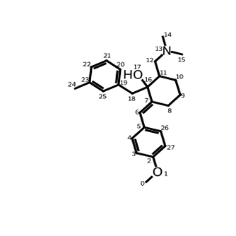 COc1ccc(/C=C2\CCCC(CN(C)C)C2(O)Cc2cccc(C)c2)cc1